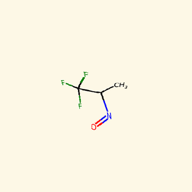 CC(N=O)C(F)(F)F